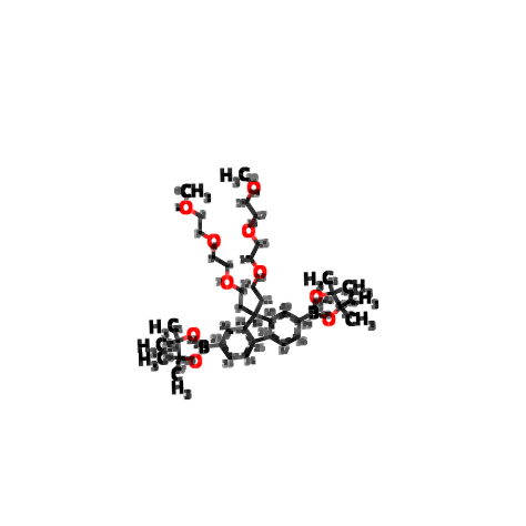 COCCOCCOCCC1(CCOCCOCCOC)c2cc(B3OC(C)(C)C(C)(C)O3)ccc2-c2ccc(B3OC(C)(C)C(C)(C)O3)cc21